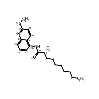 CCCCCCCC[C@@H](O)C(=O)Nc1cccc2nc(SC)ccc12